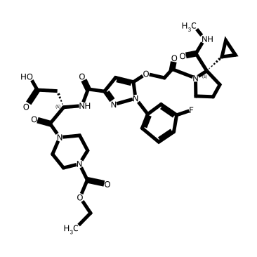 CCOC(=O)N1CCN(C(=O)[C@H](CC(=O)O)NC(=O)c2cc(OCC(=O)N3CCC[C@@]3(C(=O)NC)C3CC3)n(-c3cccc(F)c3)n2)CC1